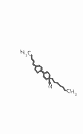 CCCCCCCC1(C#N)CCC(C2CCC(CCCCC)CC2)CC1